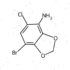 Nc1c(Cl)cc(Br)c2c1OCO2